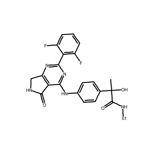 CCNC(=O)C(C)(O)c1ccc(Nc2nc(-c3c(F)cccc3F)nc3c2C(=O)NC3)cc1